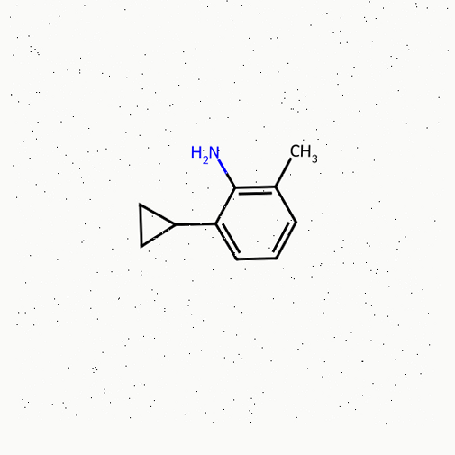 Cc1cccc(C2CC2)c1N